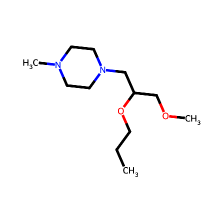 CCCOC(COC)CN1CCN(C)CC1